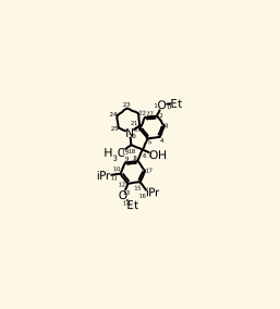 CCOc1ccc(C(O)(c2cc(C(C)C)c(OCC)c(C(C)C)c2)C(C)N2CCCCC2)cc1